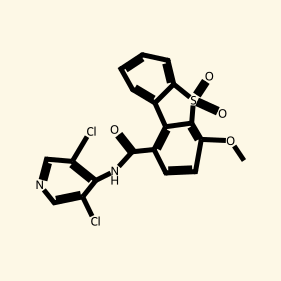 COc1ccc(C(=O)Nc2c(Cl)cncc2Cl)c2c1S(=O)(=O)c1ccccc1-2